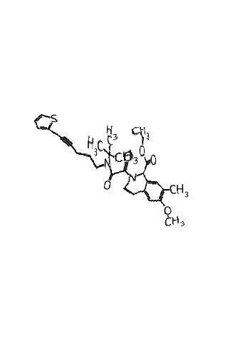 CCOC(=O)C1c2cc(C)c(OC)cc2CCN1C(=O)C(=O)N(CCCC#Cc1cccs1)C(C)(C)C